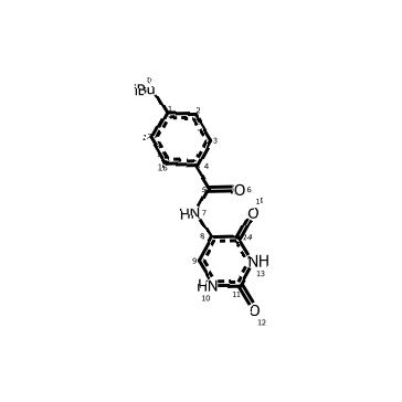 CCC(C)c1ccc(C(=O)Nc2c[nH]c(=O)[nH]c2=O)cc1